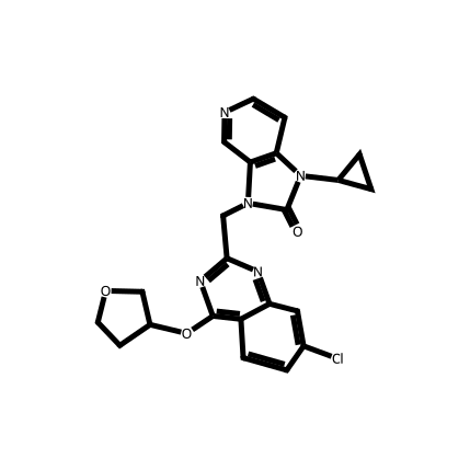 O=c1n(Cc2nc(OC3CCOC3)c3ccc(Cl)cc3n2)c2cnccc2n1C1CC1